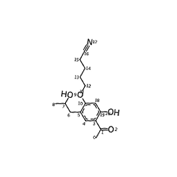 CC(=O)c1cc(CC(C)O)c(OCCCCC#N)cc1O